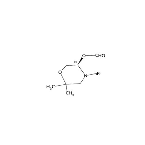 CC(C)N1CC(C)(C)OC[C@H]1OC=O